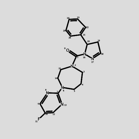 O=C(N1CCCN(c2ncc(F)cn2)CC1)N1N=CCC1c1ccccc1